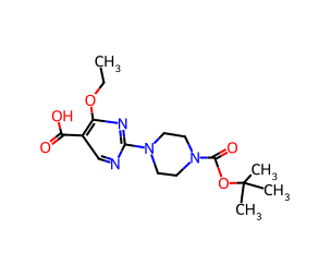 CCOc1nc(N2CCN(C(=O)OC(C)(C)C)CC2)ncc1C(=O)O